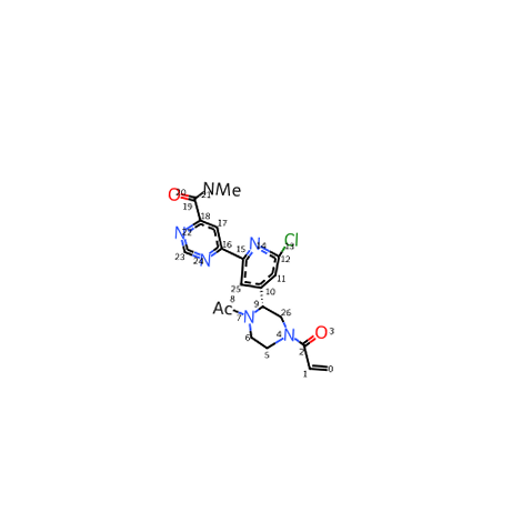 C=CC(=O)N1CCN(C(C)=O)[C@H](c2cc(Cl)nc(-c3cc(C(=O)NC)ncn3)c2)C1